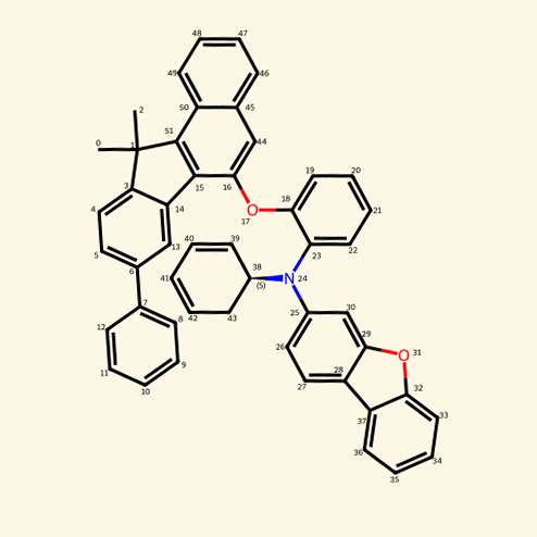 CC1(C)c2ccc(-c3ccccc3)cc2-c2c(Oc3ccccc3N(c3ccc4c(c3)oc3ccccc34)[C@@H]3C=CC=CC3)cc3ccccc3c21